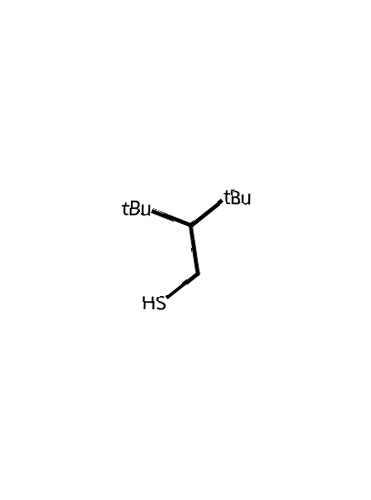 CC(C)(C)C(CS)C(C)(C)C